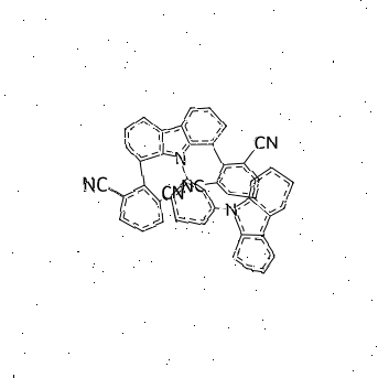 N#Cc1cccc(C#N)c1-c1cccc2c3cccc(-c4c(C#N)cccc4C#N)c3n(-c3cccc(-n4c5ccccc5c5ccccc54)c3)c12